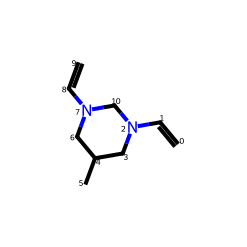 C=CN1CC(C)CN(C=C)C1